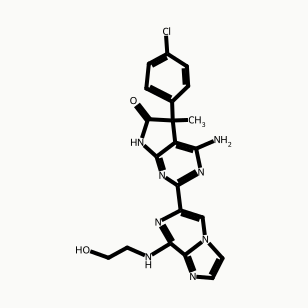 CC1(c2ccc(Cl)cc2)C(=O)Nc2nc(-c3cn4ccnc4c(NCCO)n3)nc(N)c21